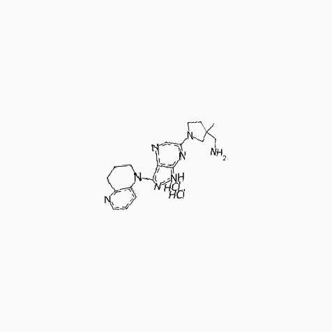 CC1(CN)CCN(c2cnc3c(N4CCCc5ncccc54)n[nH]c3n2)C1.Cl.Cl